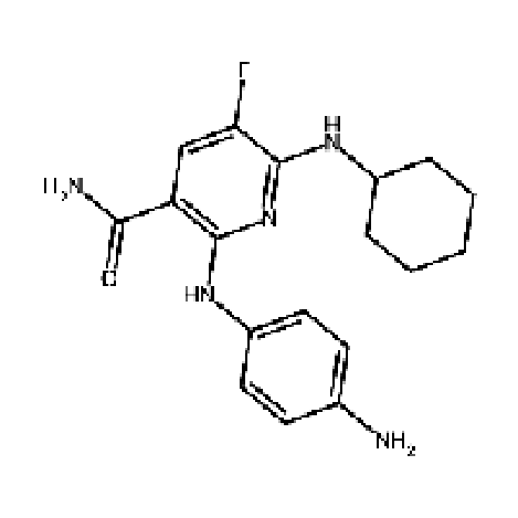 NC(=O)c1cc(F)c(NC2CCCCC2)nc1Nc1ccc(N)cc1